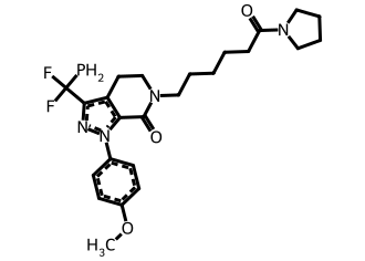 COc1ccc(-n2nc(C(F)(F)P)c3c2C(=O)N(CCCCCC(=O)N2CCCC2)CC3)cc1